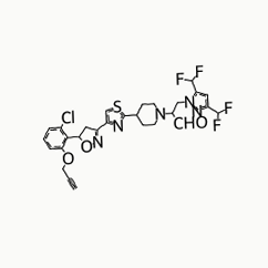 C#CCOc1cccc(Cl)c1C1CC(c2csc(C3CCN(C(C=O)Cn4nc(C(F)F)cc4C(F)F)CC3)n2)=NO1